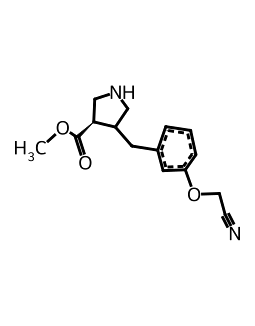 COC(=O)[C@H]1CNCC1Cc1cccc(OCC#N)c1